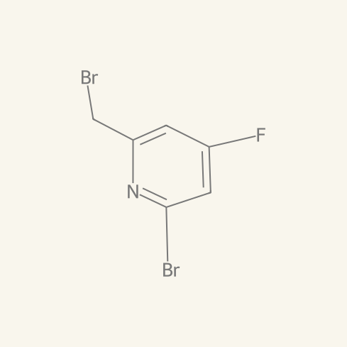 Fc1cc(Br)nc(CBr)c1